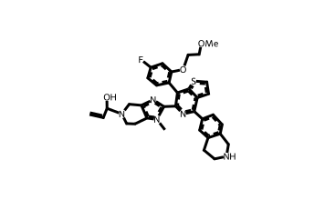 C=CC(O)N1CCc2c(nc(-c3nc(-c4ccc5c(c4)CCNC5)c4ccsc4c3-c3ccc(F)cc3OCCOC)n2C)C1